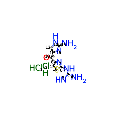 Cl.Cl.N=C(N)Nc1nc(C(=O)c2c[nH]c(N)n2)cs1